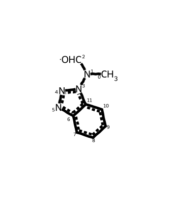 CN([C]=O)n1nnc2ccccc21